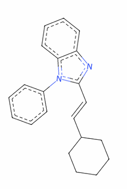 C(=CC1CCCCC1)c1nc2ccccc2n1-c1ccccc1